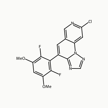 COc1cc(OC)c(F)c(-c2cc3cnc(Cl)cc3n3ncnc23)c1F